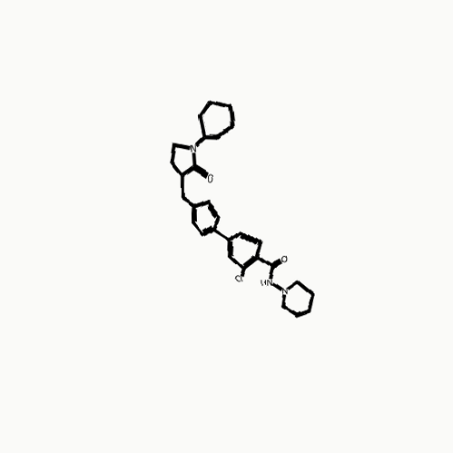 O=C(NN1CCCCC1)c1ccc(-c2ccc(CC3CCN(C4CCCCC4)C3=O)cc2)cc1Cl